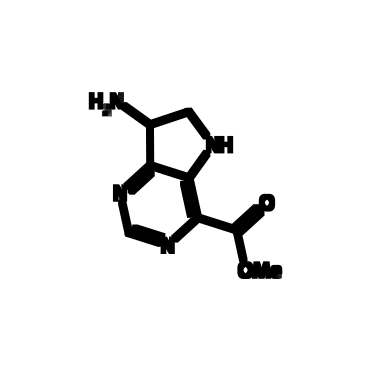 COC(=O)c1ncnc2c1NCC2N